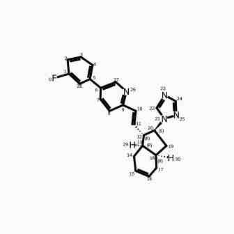 Fc1cccc(-c2ccc(C=C[C@H]3[C@@H]4CC=CC[C@@H]4C[C@@H]3n3cncn3)nc2)c1